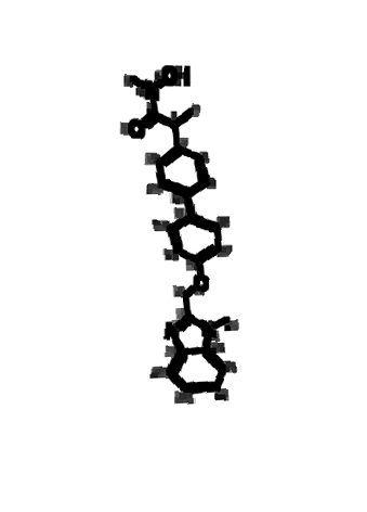 CC(C(=O)N(C)O)c1ccc(-c2ccc(OCc3nc4ccccc4n3C)cc2)cc1